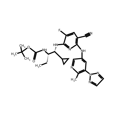 CC[C@H](NC(=O)OC(C)(C)C)[C@H](Nc1nc(Nc2cnc(C)c(-n3nccn3)c2)c(C#N)cc1F)C1CC1